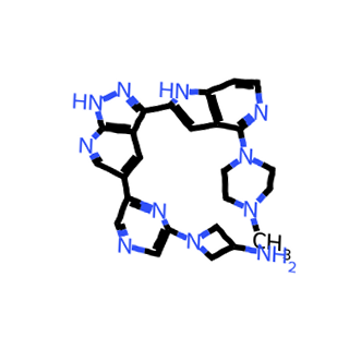 CN1CCN(c2nccc3[nH]c(-c4n[nH]c5ncc(-c6cncc(N7CC(N)C7)n6)cc45)cc23)CC1